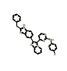 Fc1ccc(Nc2nccc(-c3c(-c4ccc5[nH]c(Cc6ccccc6)nc5c4)nc4ccccn34)n2)cc1